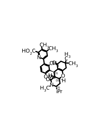 COc1ccc(-c2cc(C)c(C)c(C(=O)O)n2)c(C)c1[C@H]1C2=C(CC(C)(C)CC2=O)O[C@H]2C[C@@H](C(C)C)N(C)C(=O)[C@@H]21